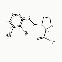 CC(C)(C)C(=O)N1CCCC1COc1cccc(N)c1C#N